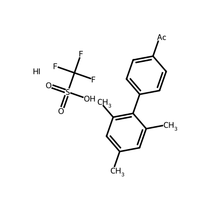 CC(=O)c1ccc(-c2c(C)cc(C)cc2C)cc1.I.O=S(=O)(O)C(F)(F)F